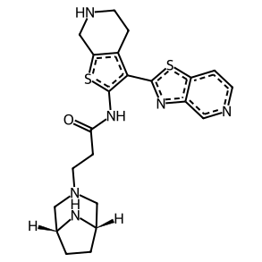 O=C(CCN1C[C@H]2CC[C@@H](C1)N2)Nc1sc2c(c1-c1nc3cnccc3s1)CCNC2